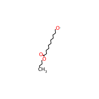 CCCCOC(=O)CCCCCCCCCC[O]